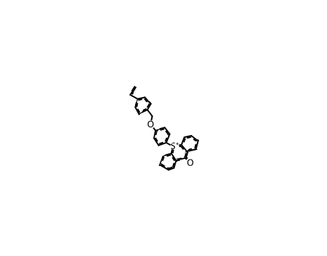 C=Cc1ccc(COc2ccc(-[s+]3c4ccccc4c(=O)c4ccccc43)cc2)cc1